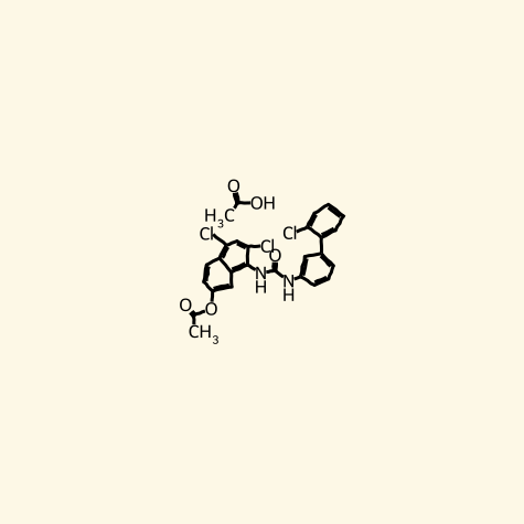 CC(=O)O.CC(=O)Oc1ccc2c(Cl)cc(Cl)c(NC(=O)Nc3cccc(-c4ccccc4Cl)c3)c2c1